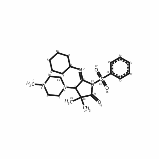 CN1CCN(C2C(=NC3CCCCC3)N(S(=O)(=O)c3ccccc3)C(=O)C2(C)C)CC1